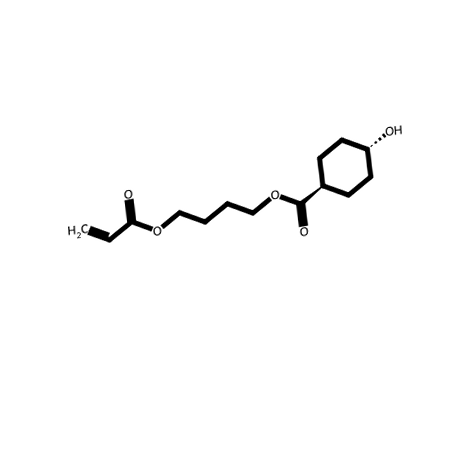 C=CC(=O)OCCCCOC(=O)[C@H]1CC[C@H](O)CC1